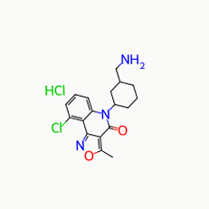 Cc1onc2c1c(=O)n(C1CCCC(CN)C1)c1cccc(Cl)c21.Cl